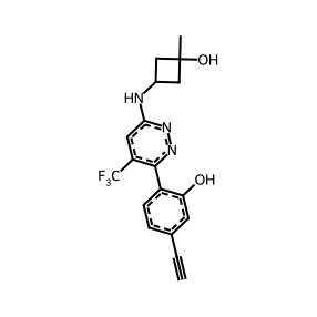 C#Cc1ccc(-c2nnc(NC3CC(C)(O)C3)cc2C(F)(F)F)c(O)c1